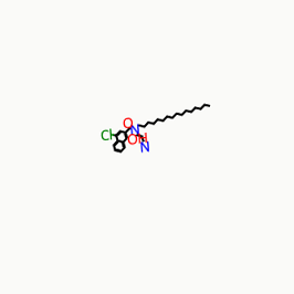 CCCCCCCCCCCCCCCCN(CCC#N)C(=O)c1cc(Cl)c2ccccc2c1O